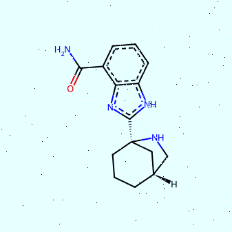 NC(=O)c1cccc2[nH]c([C@]34CCC[C@@H](CN3)C4)nc12